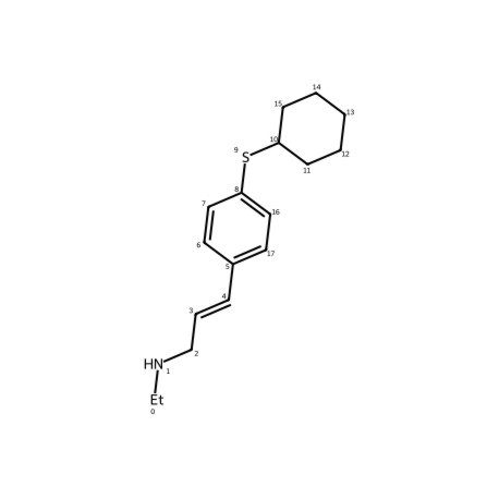 CCNCC=Cc1ccc(SC2CCCCC2)cc1